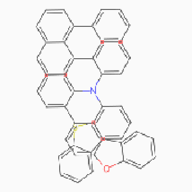 c1ccc(-c2cccc3cccc(-c4ccccc4N(c4ccccc4-c4ccc5oc6ccccc6c5c4)c4cccc5c4sc4ccccc45)c23)cc1